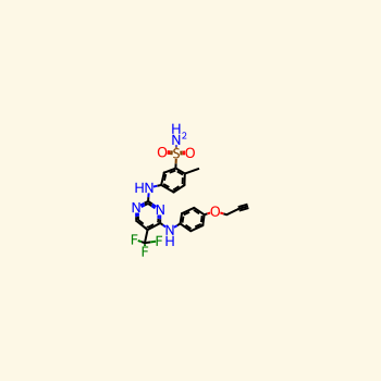 C#CCOc1ccc(Nc2nc(Nc3ccc(C)c(S(N)(=O)=O)c3)ncc2C(F)(F)F)cc1